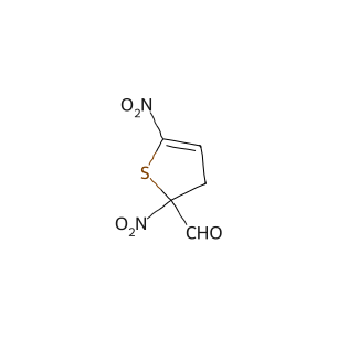 O=CC1([N+](=O)[O-])CC=C([N+](=O)[O-])S1